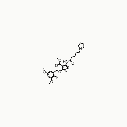 COC(=O)c1c(OCc2cc(OC)cc(OC)c2F)nsc1NC(=O)CCCCN1CCCC1